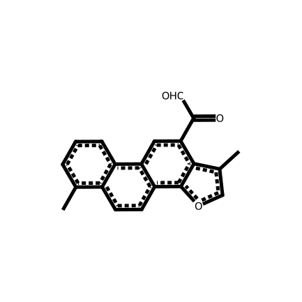 Cc1cccc2c1ccc1c2cc(C(=O)C=O)c2c(C)coc21